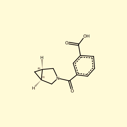 O=C(O)c1cccc(C(=O)N2C[C@H]3C[C@H]3C2)c1